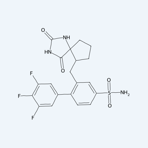 NS(=O)(=O)c1ccc(-c2cc(F)c(F)c(F)c2)c(CC2CCCC23NC(=O)NC3=O)c1